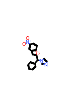 O=[N+]([O-])c1ccc2oc(C(c3ccccc3)n3ccnc3)cc2c1